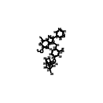 COc1nc(C)c2nc(-c3cncnc3)n(Cc3ccc(O[C@@]45CC6C4CC(C)(C5)N6C)cc3F)c2n1